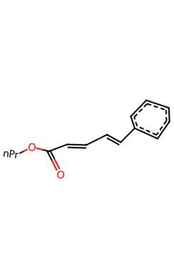 CCCOC(=O)/C=C/C=C/c1ccccc1